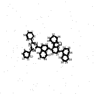 C1=CCC(c2nc(-c3ccccc3)nc(-c3ccc(-c4ccc(-c5cccc6ccccc56)c5oc6ccccc6c45)c4ccccc34)n2)C=C1